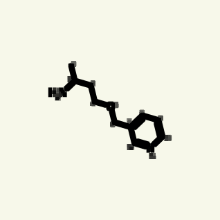 CC(N)CCOCc1cccnc1